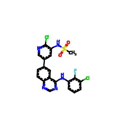 CS(=O)(=O)Nc1cc(-c2ccc3ncnc(Nc4cccc(Cl)c4F)c3c2)cnc1Cl